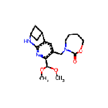 COC(OC)c1nc2c(cc1CN1CCCCOC1=O)C1CC(C1)N2